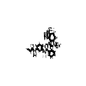 C=CC(=O)Nc1cccc(NC(=O)c2ccccc2-n2nc3c([n+]2[O-])CCc2c-3no[n+]2[O-])c1